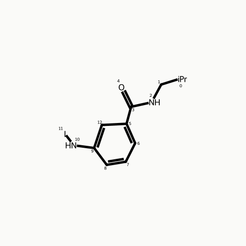 CC(C)CNC(=O)c1cccc(NI)c1